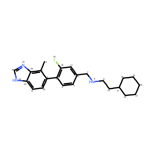 Cc1c(-c2ccc(CNCCC3CCCCC3)cc2F)ccc2[nH]cnc12